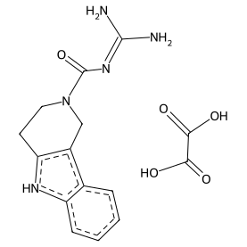 NC(N)=NC(=O)N1CCc2[nH]c3ccccc3c2C1.O=C(O)C(=O)O